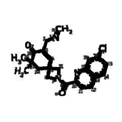 C=NCC1=CC2(CN(C(=O)c3ccc4ccc(Cl)cc4n3)C2)CC(C)(C)C1=O